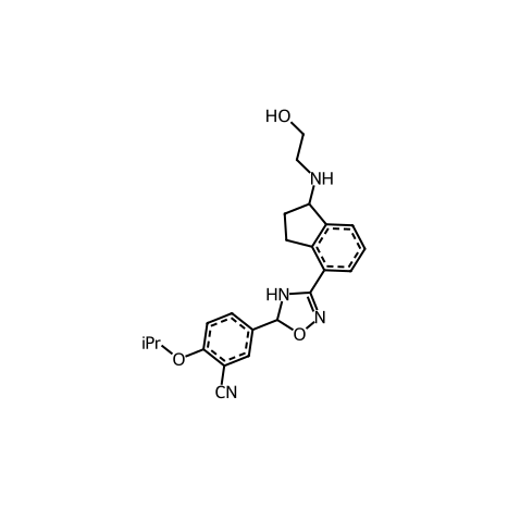 CC(C)Oc1ccc(C2NC(c3cccc4c3CCC4NCCO)=NO2)cc1C#N